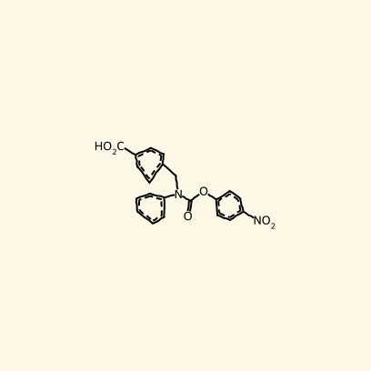 O=C(O)c1ccc(CN(C(=O)Oc2ccc([N+](=O)[O-])cc2)c2ccccc2)cc1